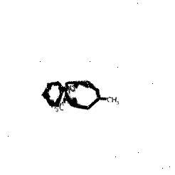 CC1CCC2CC(C)C(C1)P2c1ccccc1